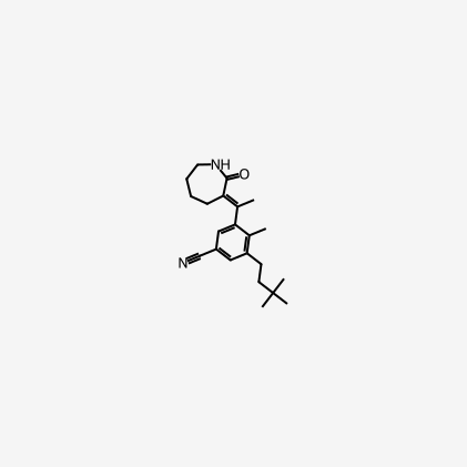 C/C(=C1/CCCCNC1=O)c1cc(C#N)cc(CCC(C)(C)C)c1C